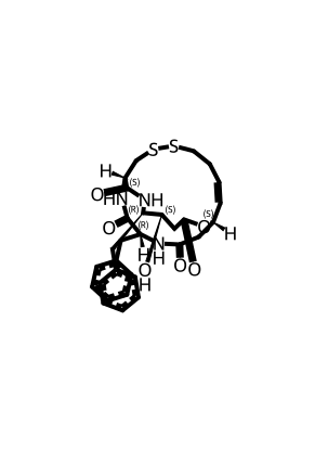 O=C1C[C@H]2C=CCCSSC[C@@H](NC(=O)[C@@H](Cc3ccccc3)N1)C(=O)N[C@H](Cc1ccccc1)[C@@H](O)CC(=O)O2